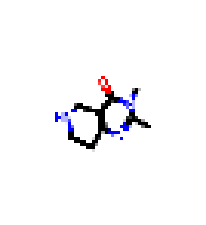 Cc1nc2c(c(=O)n1C)CNCC2